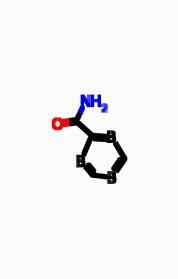 NC(=O)c1bcbcb1